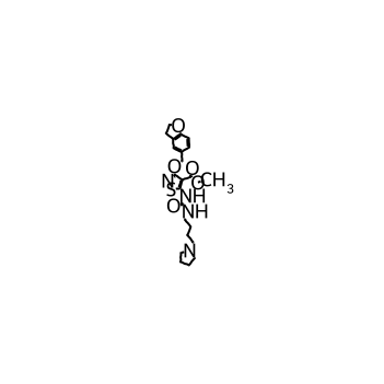 COC(=O)c1c(OCc2ccc3c(c2)CCO3)nsc1NC(=O)NCCCCN1CCCC1